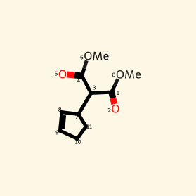 COC(=O)C(C(=O)OC)C1C=CCC1